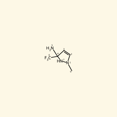 CN1C=CC(N)(C(F)(F)F)N1